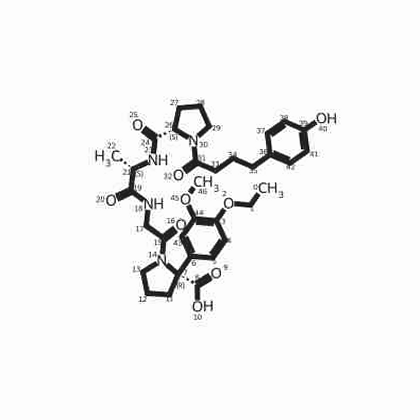 CCOc1ccc([C@@]2(C(=O)O)CCCN2C(=O)CNC(=O)[C@H](C)NC(=O)[C@@H]2CCCN2C(=O)CCCc2ccc(O)cc2)cc1OC